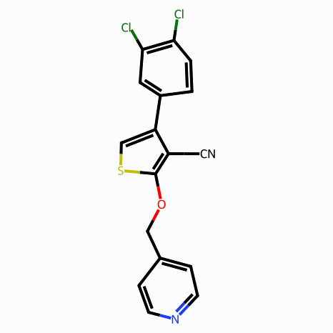 N#Cc1c(-c2ccc(Cl)c(Cl)c2)csc1OCc1ccncc1